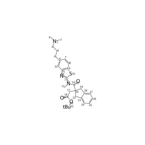 CN(C)CCCc1ccc2sc(N(C)C(=O)C3(CC(=O)OC(C)(C)C)Cc4ccccc4C3)nc2c1